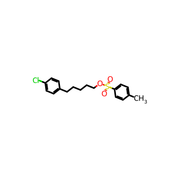 Cc1ccc(S(=O)(=O)OCCCCCc2ccc(Cl)cc2)cc1